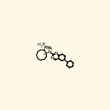 PNC1CCCCCCC[C@@H]1Nc1ncc2cc(-c3ccccc3)ccc2n1